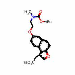 CCOC(=O)Cc1coc2ccc3cc(OCCN(C)C(=O)OC(C)(C)C)ccc3c12